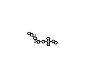 c1ccc2cc(-c3c4ccccc4c(-c4ccc(-c5ccc6sc7cc8c(cc7c6c5)oc5cc6ccccc6cc58)cc4)c4ccccc34)ccc2c1